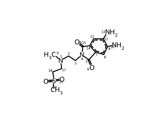 CN(CCN1C(=O)c2cc(N)c(N)cc2C1=O)CCS(C)(=O)=O